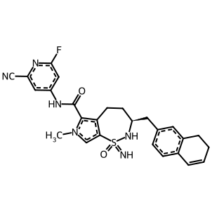 Cn1cc2c(c1C(=O)Nc1cc(F)nc(C#N)c1)CC[C@@H](Cc1ccc3c(c1)CCC=C3)NS2(=N)=O